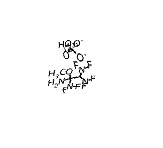 COC(N)(C(N(F)F)N(F)F)N(F)F.[O-][Cl+3]([O-])([O-])O